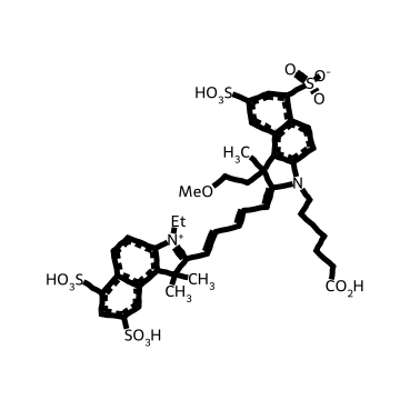 CC[N+]1=C(/C=C/C=C/C=C2/N(CCCCCC(=O)O)c3ccc4c(S(=O)(=O)[O-])cc(S(=O)(=O)O)cc4c3C2(C)CCOC)C(C)(C)c2c1ccc1c(S(=O)(=O)O)cc(S(=O)(=O)O)cc21